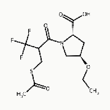 CCO[C@@H]1C[C@@H](C(=O)O)N(C(=O)C(CSC(C)=O)C(F)(F)F)C1